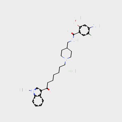 COc1cc(N)c(Cl)cc1C(=O)NCC1CCN(CCCCCCC(=O)c2cn(C)c3ccccc23)CC1.Cl